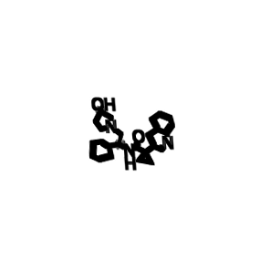 O=C(N[C@H](CN1CC[C@@H](O)C1)c1ccccc1)C1(c2cnc3ccccc3c2)CC1